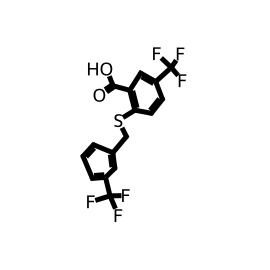 O=C(O)c1cc(C(F)(F)F)ccc1SCc1cccc(C(F)(F)F)c1